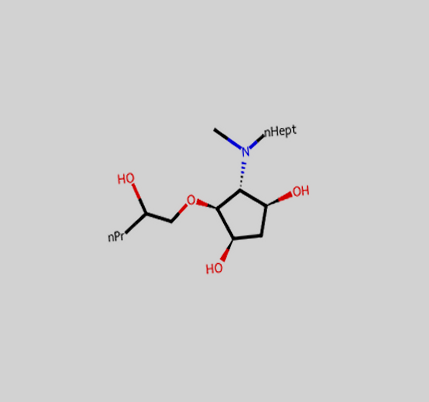 CCCCCCCN(C)[C@H]1[C@H](OCC(O)CCC)[C@H](O)C[C@@H]1O